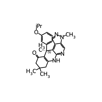 CC(C)Oc1cccc([C@]2(C)C3=C(CC(C)(C)CC3=O)Nc3ncc4c(cnn4C)c32)c1